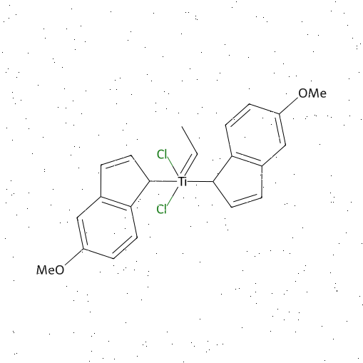 C[CH]=[Ti]([Cl])([Cl])([CH]1C=Cc2cc(OC)ccc21)[CH]1C=Cc2cc(OC)ccc21